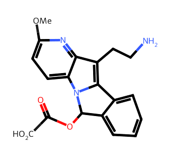 COc1ccc2c(n1)c(CCN)c1n2C(OC(=O)C(=O)O)c2ccccc2-1